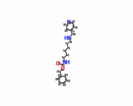 O=C(NCCCCCCNCc1ccncc1)OCc1ccccc1